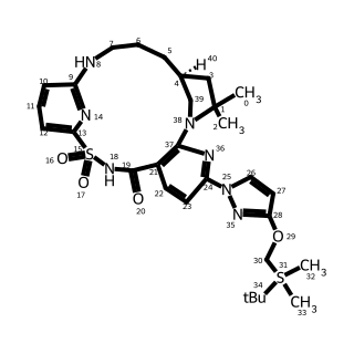 CC1(C)C[C@@H]2CCCNc3cccc(n3)S(=O)(=O)NC(=O)c3ccc(-n4ccc(OCS(C)(C)C(C)(C)C)n4)nc3N1C2